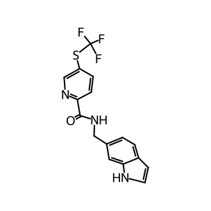 O=C(NCc1ccc2cc[nH]c2c1)c1ccc(SC(F)(F)F)cn1